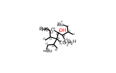 CCC(C)CC(C)C(C(=O)O)C(O)(C(=O)O)C(C(=O)O)(C(C)CC(C)CC)C(C)CC(C)CC